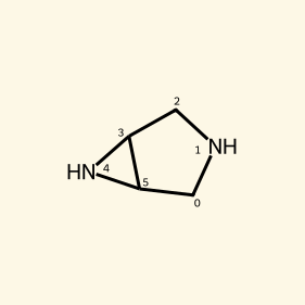 C1NCC2NC12